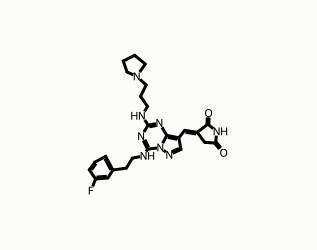 O=C1C/C(=C\c2cnn3c(NCCc4cccc(F)c4)nc(NCCCN4CCCC4)nc23)C(=O)N1